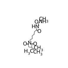 CNC(=O)CNC(=O)CCCCCN1C(=O)CC(C(C)(C)C)C1=O